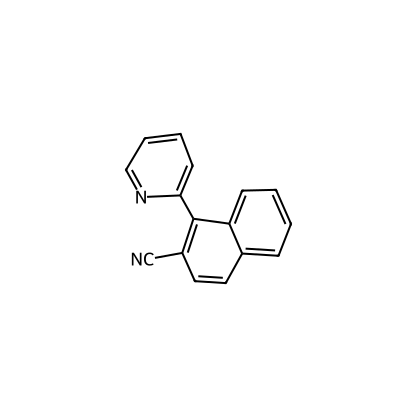 N#Cc1ccc2ccccc2c1-c1ccccn1